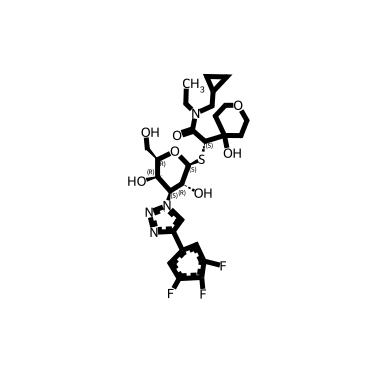 CCN(CC1CC1)C(=O)[C@@H](S[C@@H]1O[C@H](CO)[C@H](O)[C@H](n2cc(-c3cc(F)c(F)c(F)c3)nn2)[C@H]1O)C1(O)CCOCC1